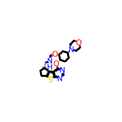 O=CNC[C@H]1CCc2sc3ncnc(O[C@H]4CC[C@H](N5CCOCC5)CC4)c3c21